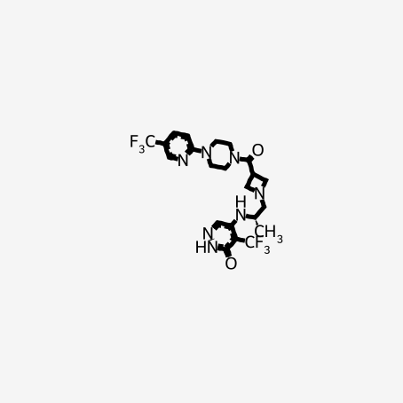 C[C@@H](CN1CC(C(=O)N2CCN(c3ccc(C(F)(F)F)cn3)CC2)C1)Nc1cn[nH]c(=O)c1C(F)(F)F